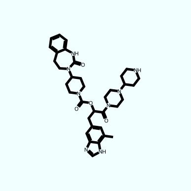 Cc1cc(CC(OC(=O)N2CCC(N3CCc4ccccc4NC3=O)CC2)C(=O)N2CCN(C3CCNCC3)CC2)cc2nc[nH]c12